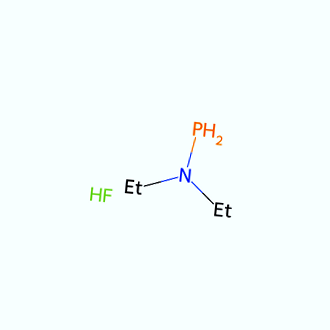 CCN(P)CC.F